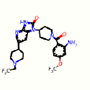 Nc1cc(OC(F)(F)F)ccc1C(=O)N1CCC(n2c(=O)[nH]c3ncc(C4CCN(CC(F)(F)F)CC4)cc32)CC1